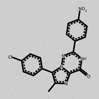 Cc1nc2c(=O)[nH]c(-c3ccc([N+](=O)[O-])cc3)nn2c1-c1ccc(Cl)cc1